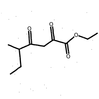 CCOC(=O)C(=O)CC(=O)C(C)CC